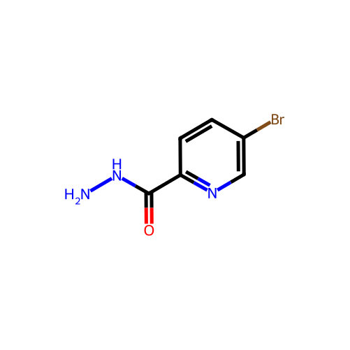 NNC(=O)c1ccc(Br)cn1